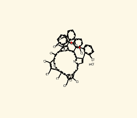 Cl.ClC1=C(Cl)c2nc1c(Cl)c1c(Cl)c(Cl)c(cc3nc(c(-c4c(Cl)cccc4Cl)c4c(-c5c(Cl)cccc5Cl)c(Cl)c(c2Cl)n4-c2c(Cl)cccc2Cl)C(c2c(Cl)cccc2Cl)=C3)n1Cl